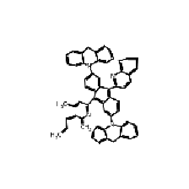 C=C/C=C\C(=C)/N=C(\C=C\C)c1c2cc(N3c4ccccc4Cc4ccccc43)ccc2c(-c2ccc3ccccc3n2)c2cc(N3c4ccccc4Cc4ccccc43)ccc12